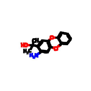 CC(C)(O)c1cc2c(cc1N)Oc1ccccc1O2